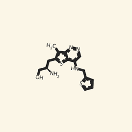 Cc1c(C[C@@H](N)CO)sc2c(NCc3cccs3)cnnc12